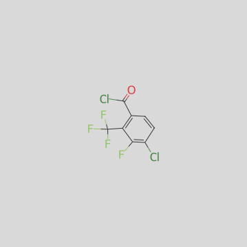 O=C(Cl)c1ccc(Cl)c(F)c1C(F)(F)F